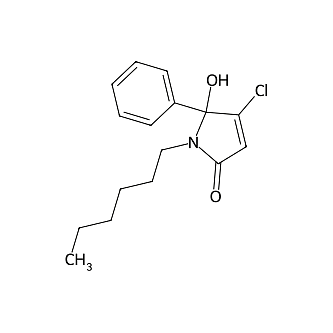 CCCCCCN1C(=O)C=C(Cl)C1(O)c1ccccc1